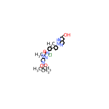 Cc1c(Nc2nccc3cc(CO)cnc23)cccc1-c1cccc(N(Cl)C(=O)c2nc3c(n2C)CCN(C(=O)OC(C)(C)C)C3)c1